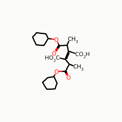 CC(C(=O)OC1CCCCC1)/C(C(=O)O)=C(\C(=O)O)C(C)C(=O)OC1CCCCC1